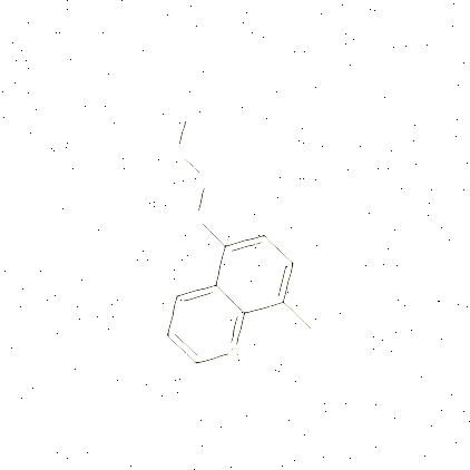 Cc1ccc(SOOO)c2cccnc12